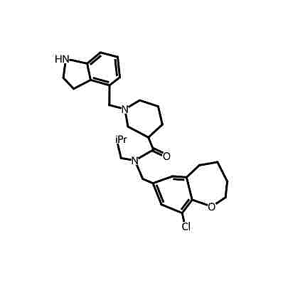 CC(C)CN(Cc1cc(Cl)c2c(c1)CCCCO2)C(=O)C1CCCN(Cc2cccc3c2CCN3)C1